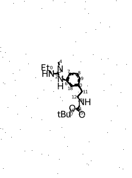 CCNC(=NC)Nc1cccc(CCNC(=O)OC(C)(C)C)c1